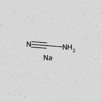 N#CN.[Na]